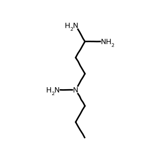 CCCN(N)CCC(N)N